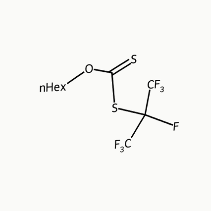 CCCCCCOC(=S)SC(F)(C(F)(F)F)C(F)(F)F